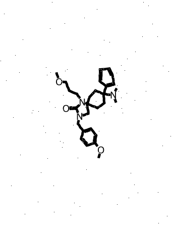 COCCCN1C(=O)N(Cc2ccc(OC)cc2)CC12CCC(c1ccccc1)(N(C)C)CC2